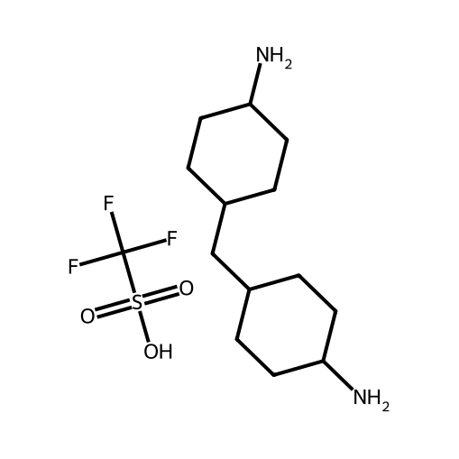 NC1CCC(CC2CCC(N)CC2)CC1.O=S(=O)(O)C(F)(F)F